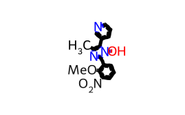 COc1c(-c2nc(C)c(-c3cccnc3)n2O)cccc1[N+](=O)[O-]